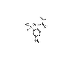 C=C(C)C(=O)Nc1ccc(N)cc1S(=O)(=O)O